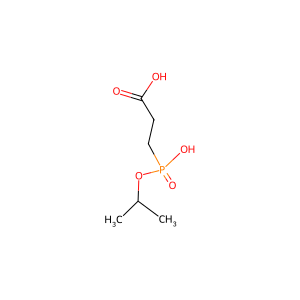 CC(C)OP(=O)(O)CCC(=O)O